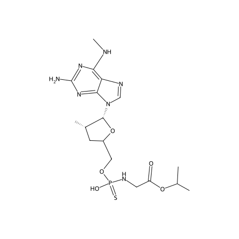 CNc1nc(N)nc2c1ncn2[C@@H]1OC(COP(O)(=S)NCC(=O)OC(C)C)C[C@@H]1C